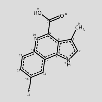 Cc1c[nH]c2c1c(C(=O)O)nc1ccc(F)cc12